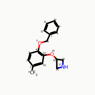 FC(F)(F)c1ccc(OCc2ccccc2)c(OC2CNC2)c1